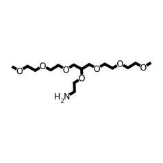 COCCOCCOCC(COCCOCCOC)OCCN